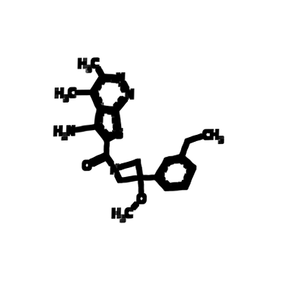 CCc1cccc(C2(OC)CN(C(=O)c3sc4nnc(C)c(C)c4c3N)C2)c1